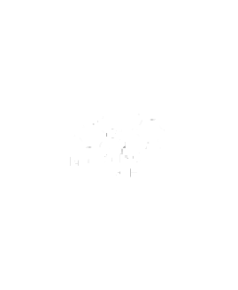 O=P(O)(Oc1ccccc1Br)Oc1ccccc1Br